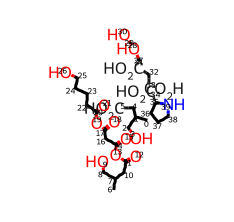 CC(CO)CC(=O)O.CC(CO)CC(=O)OC(=O)CC(=O)OC(=O)CCCCO.CO.CO.O=C(O)CC(=O)O.O=C(O)[C@@H]1CCCN1